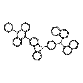 c1ccc(-c2c3ccccc3c(-c3ccc4c(c3)c3ccccc3n4-c3ccc(N(c4cccc5ccccc45)c4cccc5ccccc45)cc3)c3ccccc23)cc1